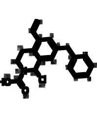 C=Cc1cc(Cc2ccccc2)cc2c1CCN(C(=O)O)C2Cl